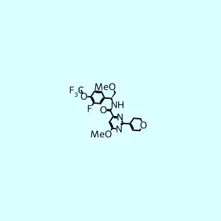 COC[C@@H](NC(=O)c1cc(OC)nc(C2=CCOCC2)n1)c1ccc(OC(F)(F)F)c(F)c1